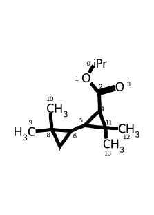 CC(C)OC(=O)C1C(C2CC2(C)C)C1(C)C